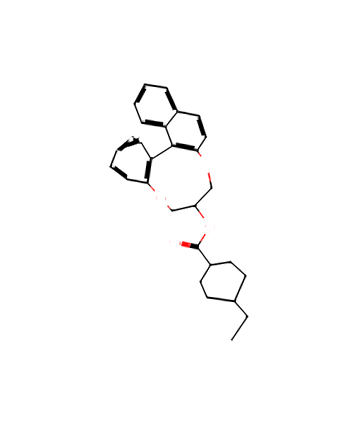 CCC1CCC(C(=O)OC2COc3ccc4ccccc4c3-c3c(ccc4ccccc34)OC2)CC1